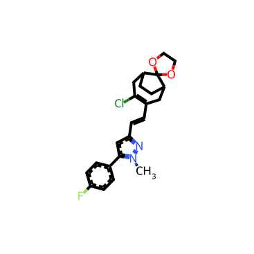 Cn1nc(/C=C/C2=C(Cl)CC3CCC(C2)C32OCCO2)cc1-c1ccc(F)cc1